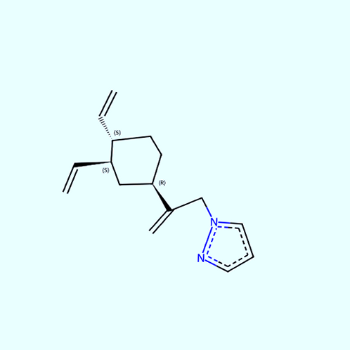 C=C[C@@H]1CC[C@@H](C(=C)Cn2cccn2)C[C@H]1C=C